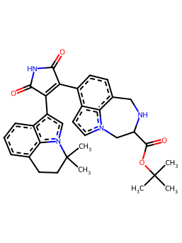 CC(C)(C)OC(=O)C1Cn2ccc3c(C4=C(c5cn6c7c(cccc57)CCC6(C)C)C(=O)NC4=O)ccc(c32)CN1